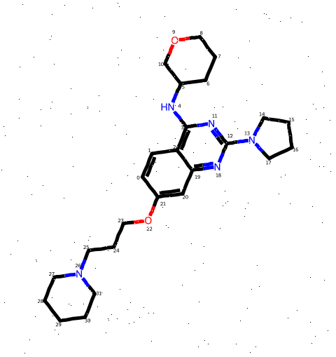 c1cc2c(NC3CCCOC3)nc(N3CCCC3)nc2cc1OCCCN1CCCCC1